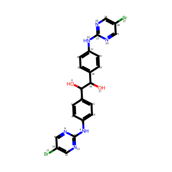 OC(c1ccc(Nc2ncc(Br)cn2)cc1)C(O)c1ccc(Nc2ncc(Br)cn2)cc1